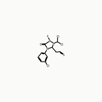 O=C1N(c2cccc(Cl)c2)C(CC=S)N(C(Cl)Cl)N1F